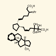 CCCC(CC/C=C/[C@H]1CCC[C@@H]1C/C=C\CC(O)(O)C(O)(O)C(=O)O)CC(=O)O.C[C@@]12CCC[C@H]1[C@@H]1CCc3ccccc3[C@H]1CC2